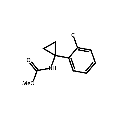 [CH2]OC(=O)NC1(c2ccccc2Cl)CC1